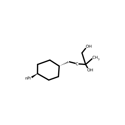 CCC[C@H]1CC[C@H](CCC(C)(O)CO)CC1